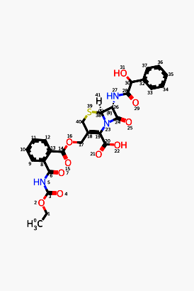 CCOC(=O)NC(=O)c1ccccc1C(=O)OCC1=C(C(=O)O)N2C(=O)[C@@H](NC(=O)C(O)c3ccccc3)[C@@H]2SC1